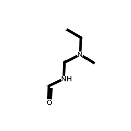 CCN(C)CN[C]=O